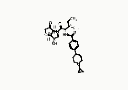 CC[C@H](C)[C@H](NC(=O)c1ccc(C2CCN(C3CC3)CC2)cc1)C(=O)N1C[C@@H](O)[C@H]2OCC(=O)[C@H]21